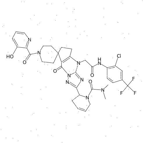 CN(C)C(=O)N1CC=CCC1c1nc2n(CC(=O)Nc3ccc(C(F)(F)F)cc3Cl)c3c(c(=O)n2n1)C1(CC3)CCN(C(=O)c2ncccc2O)CC1